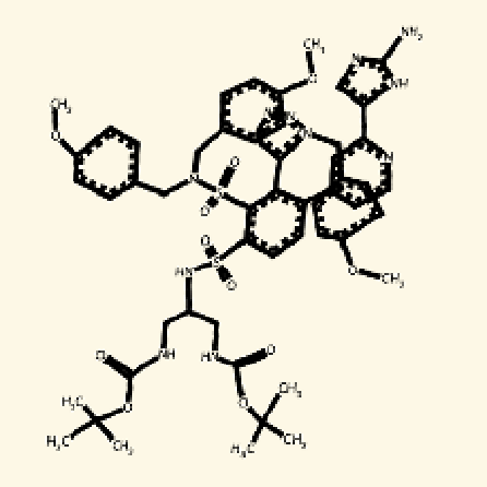 COc1ccc(CN(Cc2ccc(OC)cc2)S(=O)(=O)c2c(S(=O)(=O)NC(CNC(=O)OC(C)(C)C)CNC(=O)OC(C)(C)C)ccc(-c3ccnc(-c4cnc(N)[nH]4)c3)c2-c2nnnn2Cc2ccc(OC)cc2)cc1